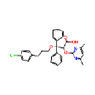 Cc1cc(C)nc(OC(C(=O)O)C(OCCCc2ccc(Cl)cc2)(c2ccccc2)c2ccccc2)n1